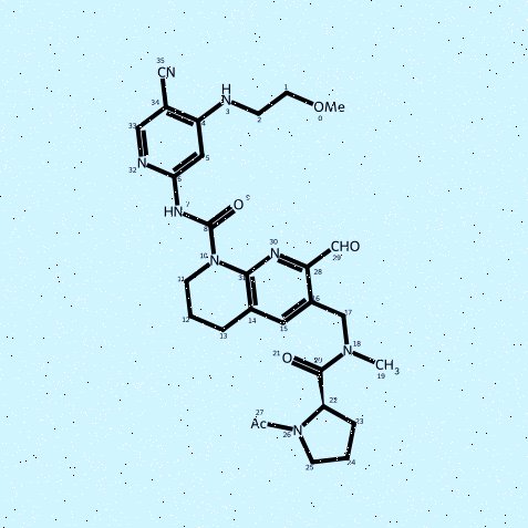 COCCNc1cc(NC(=O)N2CCCc3cc(CN(C)C(=O)[C@H]4CCCN4C(C)=O)c(C=O)nc32)ncc1C#N